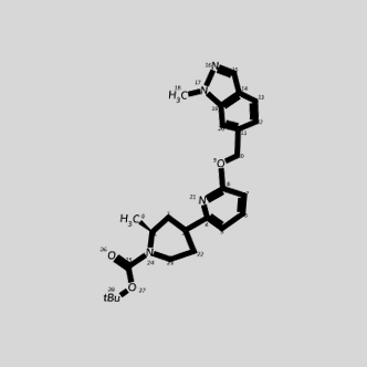 C[C@H]1CC(c2cccc(OCc3ccc4cnn(C)c4c3)n2)CCN1C(=O)OC(C)(C)C